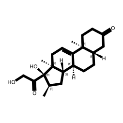 C[C@@H]1C[C@H]2[C@@H]3CC[C@H]4CC(=O)CC[C@]4(C)C3=CC[C@]2(C)[C@@]1(O)C(=O)CO